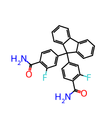 NC(=O)c1ccc(C2(c3ccc(C(N)=O)c(F)c3)c3ccccc3-c3ccccc32)cc1F